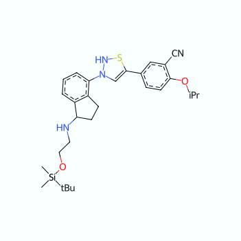 CC(C)Oc1ccc(C2=CN(c3cccc4c3CCC4NCCO[Si](C)(C)C(C)(C)C)NS2)cc1C#N